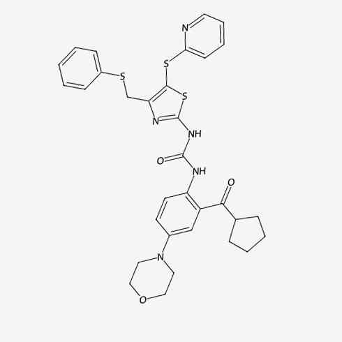 O=C(Nc1nc(CSc2ccccc2)c(Sc2ccccn2)s1)Nc1ccc(N2CCOCC2)cc1C(=O)C1CCCC1